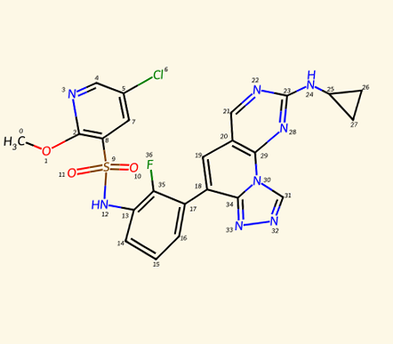 COc1ncc(Cl)cc1S(=O)(=O)Nc1cccc(-c2cc3cnc(NC4CC4)nc3n3cnnc23)c1F